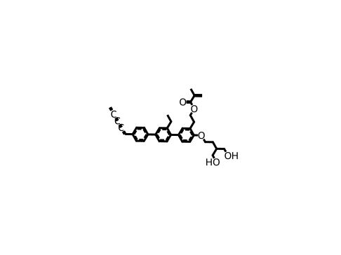 C=C=C=C=Cc1ccc(-c2ccc(-c3ccc(OCCC(CO)CO)c(CCOC(=O)C(=C)C)c3)c(CC)c2)cc1